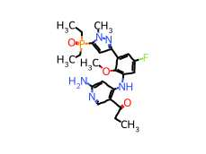 CCC(=O)c1cnc(N)cc1Nc1cc(F)cc(-c2cc(P(=O)(CC)CC)n(C)n2)c1OC